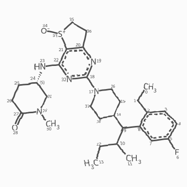 CCc1ccc(F)cc1C(C(C)CC)C1CCN(c2nc3c(c(N[C@H]4CCC(=O)N(C)C4)n2)[S+]([O-])CC3)CC1